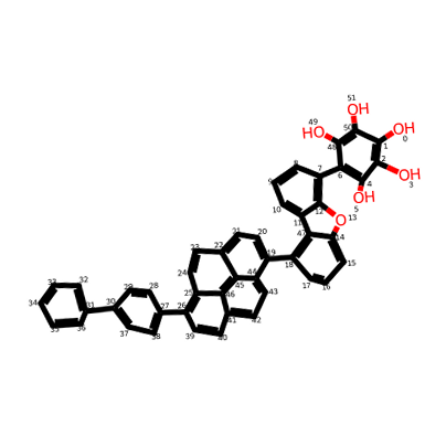 Oc1c(O)c(O)c(-c2cccc3c2oc2cccc(-c4ccc5ccc6c(-c7ccc(-c8ccccc8)cc7)ccc7ccc4c5c76)c23)c(O)c1O